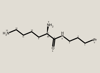 CC(C)CCCNC(=O)[C@H](N)CCCCN